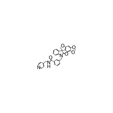 O=C(NCc1ccncc1)c1cccc(CN2C(=O)C3(COc4cc5c(cc43)OCO5)c3ccccc32)c1